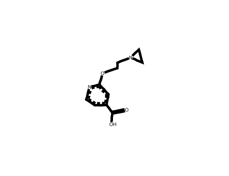 O=C(O)c1ccnc(OCCN2CC2)c1